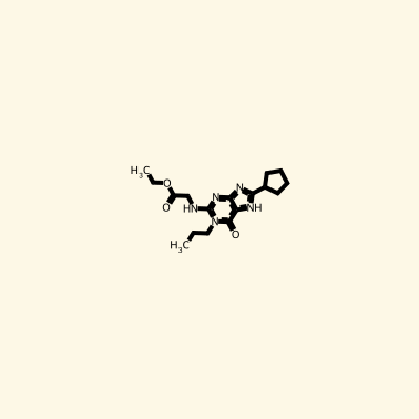 CCCn1c(NCC(=O)OCC)nc2nc(C3CCCC3)[nH]c2c1=O